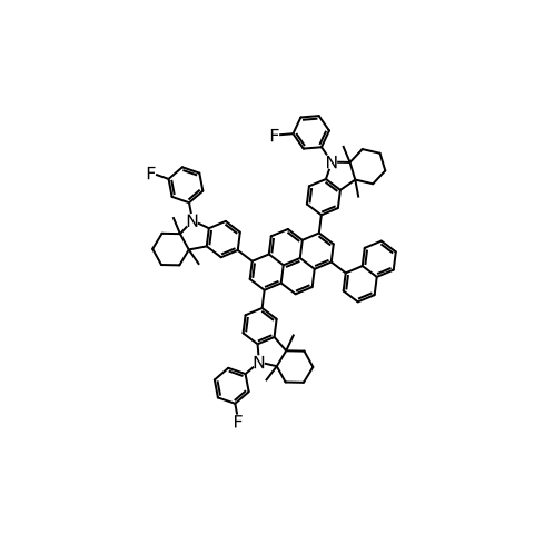 CC12CCCCC1(C)N(c1cccc(F)c1)c1ccc(-c3cc(-c4ccc5c(c4)C4(C)CCCCC4(C)N5c4cccc(F)c4)c4ccc5c(-c6cccc7ccccc67)cc(-c6ccc7c(c6)C6(C)CCCCC6(C)N7c6cccc(F)c6)c6ccc3c4c65)cc12